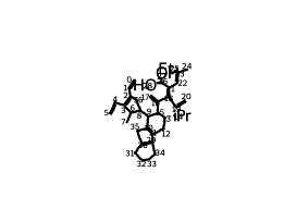 C=CC1=C(C=C)C(C)C(C2C3=C(C[C@@H](C(C)C)C2C(=C)/C(C=C)=C(/C=C(/C)CC)C(O)O)C2=C(CCCC2)C3)C1